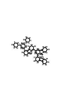 c1ccc(-c2nc(-c3ccccc3)nc(-c3cccc4oc5c(-c6nc(-c7cccc8c7oc7ccccc78)c7sc8ccccc8c7n6)cccc5c34)n2)cc1